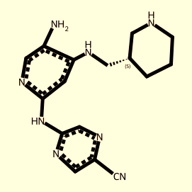 N#Cc1cnc(Nc2cc(NC[C@H]3CCCNC3)c(N)cn2)cn1